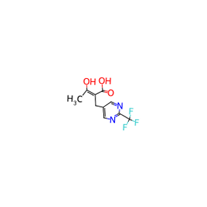 C/C(O)=C(\Cc1cnc(C(F)(F)F)nc1)C(=O)O